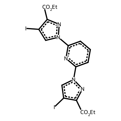 CCOC(=O)c1nn(-c2cccc(-n3cc(I)c(C(=O)OCC)n3)n2)cc1I